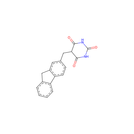 O=C1NC(=O)C(Cc2ccc3c(c2)Cc2ccccc2-3)C(=O)N1